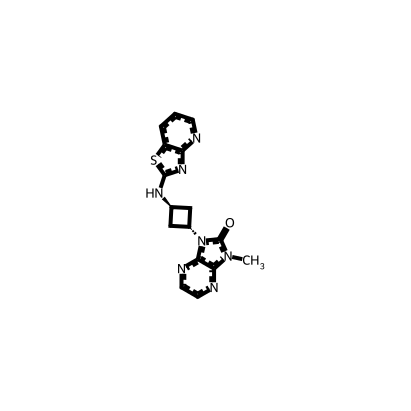 Cn1c(=O)n([C@H]2C[C@H](Nc3nc4ncccc4s3)C2)c2nccnc21